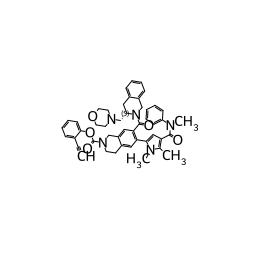 C#Cc1ccccc1OC(=O)N1CCc2cc(-c3cc(C(=O)N(C)c4ccccc4)c(C)n3C)c(C(=O)N3Cc4ccccc4C[C@H]3CN3CCOCC3)cc2C1